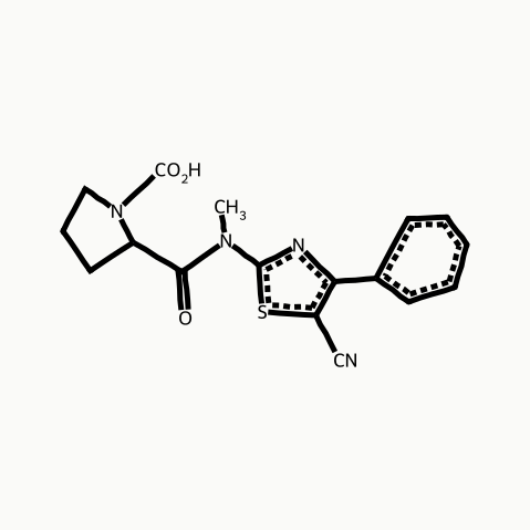 CN(C(=O)C1CCCN1C(=O)O)c1nc(-c2ccccc2)c(C#N)s1